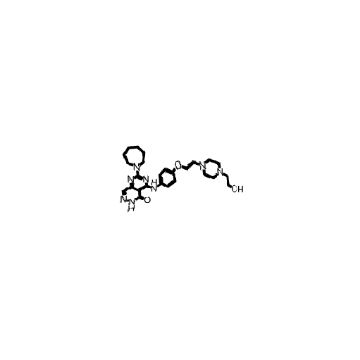 O=c1[nH]ncc2nc(N3CCCCCC3)nc(Nc3ccc(OCCN4CCN(CCO)CC4)cc3)c12